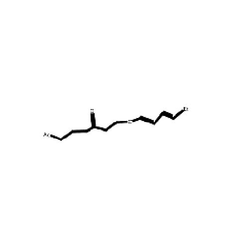 CCC=CC=CCCCC(=O)CCCC(C)=O